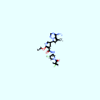 [2H]COc1ncc(-c2cc(C(F)(F)F)c3c(N)ncnn23)cc1C(=O)N[C@@H]1CN(C(=O)C(C)(C)F)C[C@@H]1F